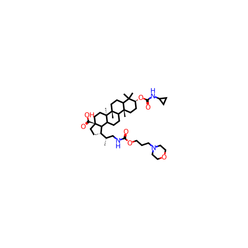 C[C@@H](CNC(=O)OCCCN1CCOCC1)[C@@H]1CC[C@]2(C(=O)O)CC[C@]3(C)C(CCC4[C@@]5(C)CC[C@@H](OC(=O)NC6CC6)C(C)(C)C5CC[C@]43C)C12